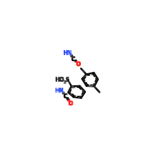 Cc1ccc(C)cc1.N=C=O.N=C=O.O=S(=O)(O)c1ccccc1